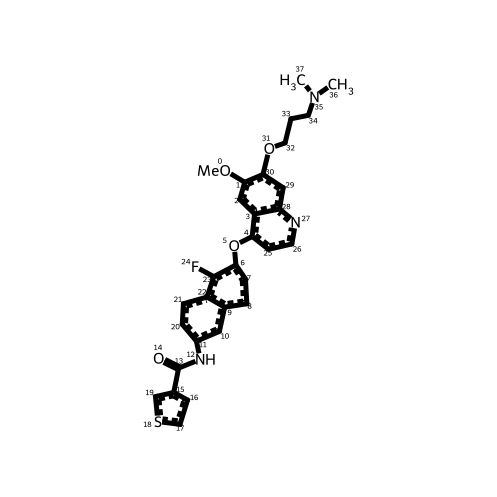 COc1cc2c(Oc3ccc4cc(NC(=O)c5ccsc5)ccc4c3F)ccnc2cc1OCCCN(C)C